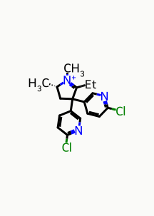 CCC1=[N+](C)[C@@H](C)CC1(c1ccc(Cl)nc1)c1ccc(Cl)nc1